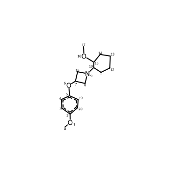 COc1ccc(OC2CN(C3CCCCC3OC)C2)cc1